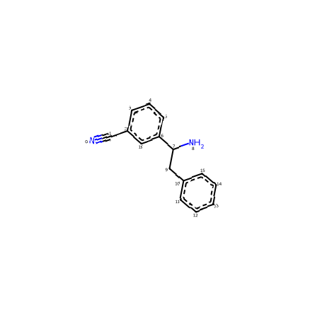 N#Cc1cccc(C(N)Cc2ccccc2)c1